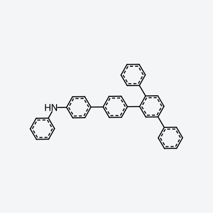 c1ccc(Nc2ccc(-c3ccc(-c4cc(-c5ccccc5)ccc4-c4ccccc4)cc3)cc2)cc1